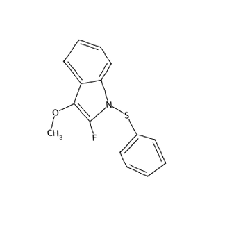 COc1c(F)n(Sc2ccccc2)c2ccccc12